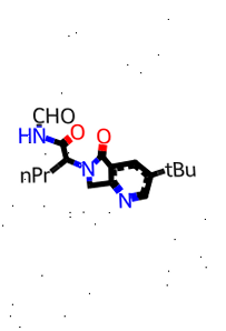 CCCC(C(=O)NC=O)N1Cc2ncc(C(C)(C)C)cc2C1=O